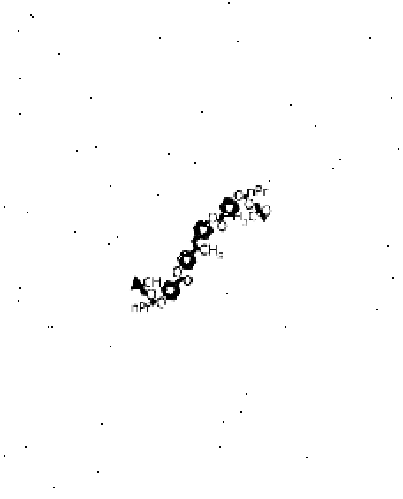 CCCC(OCC1(C)CC1)Oc1ccc(C(=O)Oc2ccc(C(C)Cc3ccc(OC(=O)c4ccc(OC(CCC)OCC5(C)CO5)cc4)cc3)cc2)cc1